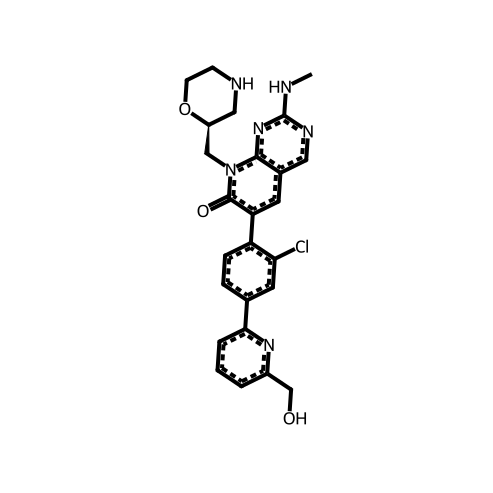 CNc1ncc2cc(-c3ccc(-c4cccc(CO)n4)cc3Cl)c(=O)n(C[C@@H]3CNCCO3)c2n1